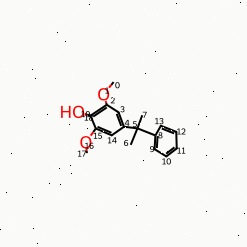 COc1cc(C(C)(C)c2ccccc2)cc(OC)c1O